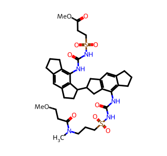 COCCC(=O)N(C)CCCS(=O)(=O)NC(=O)Nc1c2c(cc3c1CC(C1CCc4cc5c(c(NC(=O)NS(=O)(=O)CCC(=O)OC)c41)CCC5)C3)CCC2